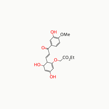 CCOC(=O)COC1=CC(O)=CC(O)C1C=CC(=O)c1ccc(OC)c(O)c1